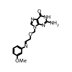 COc1cccc(/N=C/COCn2cnc3c(=O)[nH]c(N)nc32)c1